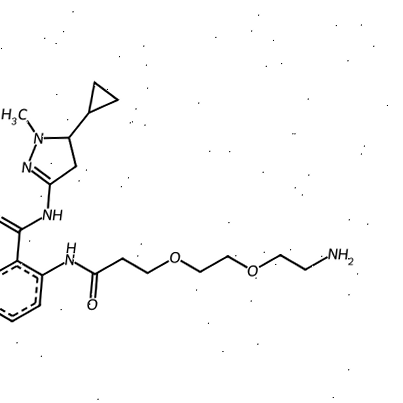 CN1N=C(NC(=O)c2ccccc2NC(=O)CCOCCOCCN)CC1C1CC1